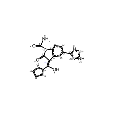 NC(=O)N1C(=O)/C(=C(/O)c2cccs2)c2cc(-c3nn[nH]n3)ccc21